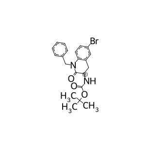 CC(C)(C)OC(=O)N[C@@H]1Cc2cc(Br)ccc2N(Cc2ccccc2)C1=O